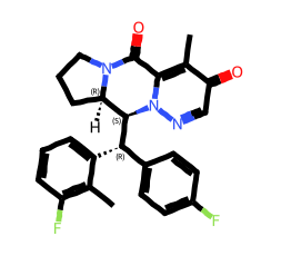 Cc1c(F)cccc1[C@@H](c1ccc(F)cc1)[C@H]1[C@H]2CCCN2C(=O)c2c(C)c(=O)cnn21